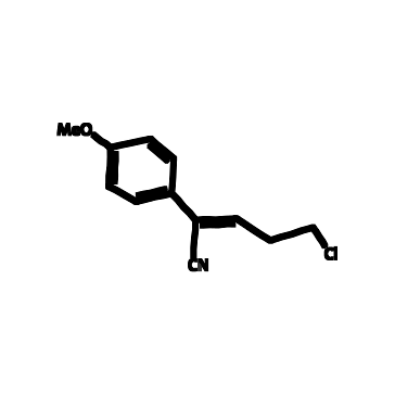 COc1ccc(C(C#N)=CCCCl)cc1